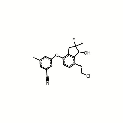 N#Cc1cc(F)cc(Oc2ccc(SCCl)c3c2CC(F)(F)[C@H]3O)c1